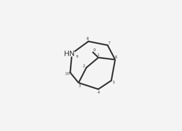 CC1CC2CCC1CCNC2